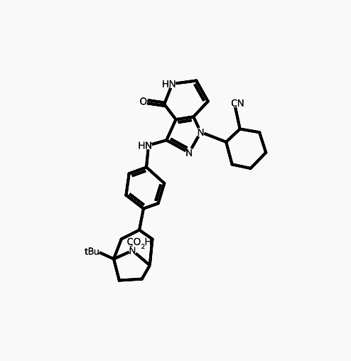 CC(C)(C)C12CCC(CC(c3ccc(Nc4nn(C5CCCCC5C#N)c5cc[nH]c(=O)c45)cc3)C1)N2C(=O)O